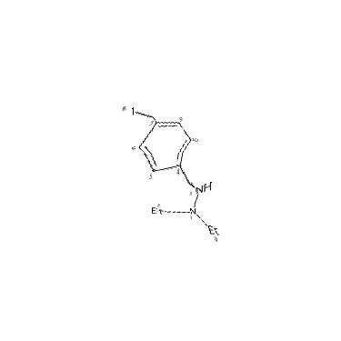 CCN(CC)Nc1ccc(I)cc1